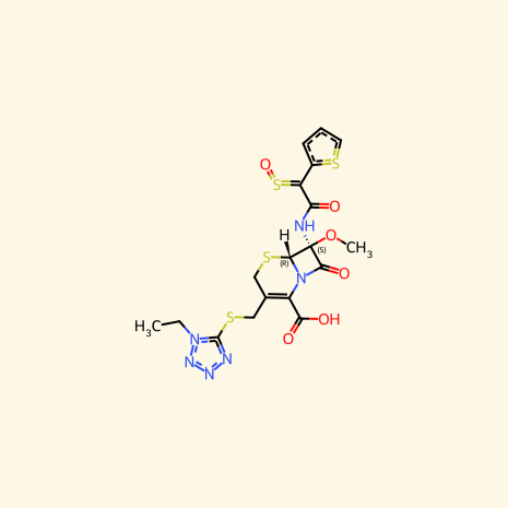 CCn1nnnc1SCC1=C(C(=O)O)N2C(=O)[C@](NC(=O)C(=S=O)c3cccs3)(OC)[C@H]2SC1